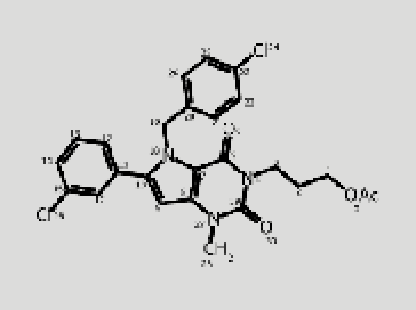 CC(=O)OCCCn1c(=O)c2c(cc(-c3cccc(Cl)c3)n2Cc2ccc(Cl)cc2)n(C)c1=O